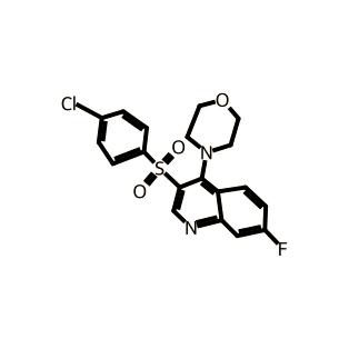 O=S(=O)(c1ccc(Cl)cc1)c1cnc2cc(F)ccc2c1N1CCOCC1